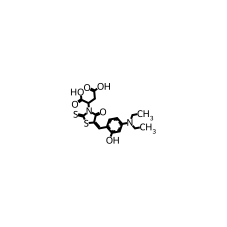 CCN(CC)c1ccc(C=C2SC(=S)N(C(CC(=O)O)C(=O)O)C2=O)c(O)c1